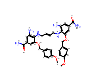 COc1ccc(COc2cc(C(N)=O)cc(N)c2NC/C=C/CNc2c(N)cc(C(N)=O)cc2OCc2ccc(OC)cc2)cc1